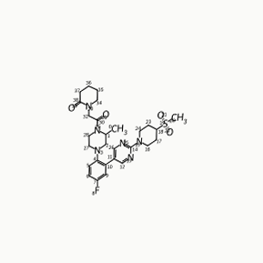 CC1CN(c2ccc(F)cc2-c2cnc(N3CCC(S(C)(=O)=O)CC3)nc2)CCN1C(=O)CN1CCCCC1=O